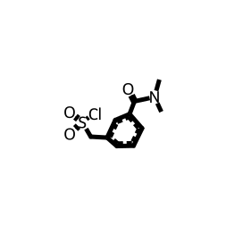 CN(C)C(=O)c1cccc(CS(=O)(=O)Cl)c1